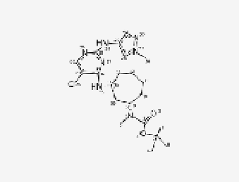 CN(C(=O)OC(C)(C)C)[C@H]1CCCC[C@@H](Nc2nc(Nc3cnn(C)c3)ncc2Cl)C1